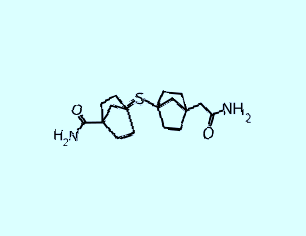 NC(=O)CC12CCC(SC34CCC(C(N)=O)(CC3)C4)(CC1)C2